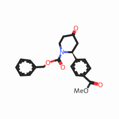 COC(=O)c1ccc([C@@H]2CC(=O)CCN2C(=O)OCc2ccccc2)cc1